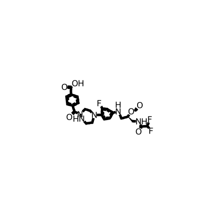 O=CO[C@@H](CNC(=O)C(F)F)CNc1ccc(N2CCNN(C(=O)c3ccc(C(=O)O)cc3)CC2)c(F)c1